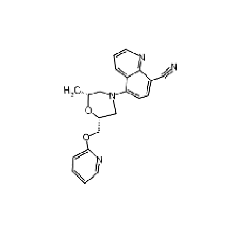 C[C@@H]1CN(c2ccc(C#N)c3ncccc23)C[C@H](COc2ccccn2)O1